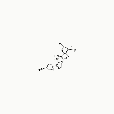 C[C@H](Nc1ncnc2c(C(F)(F)F)cc(Cl)cc12)c1ncnn1-c1ccc(C#N)cn1